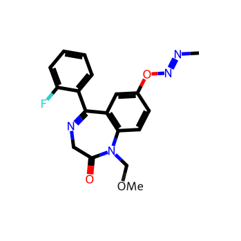 CN=NOc1ccc2c(c1)C(c1ccccc1F)=NCC(=O)N2COC